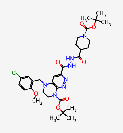 COc1ccc(Cl)cc1CN1CCN(C(=O)OC(C)(C)C)c2nnc(C(=O)NNC(=O)C3CCN(C(=O)OC(C)(C)C)CC3)cc21